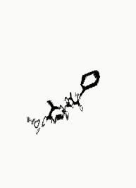 Cc1c(C(=O)O)nnn1C1=NC(C)C(C(=O)NCc2ccccc2)S1